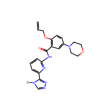 C=CCOc1ccc(N2CCOCC2)cc1C(=O)Nc1cccc(-c2nncn2CC)n1